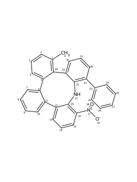 Cc1cccc2c3ccccc3c3cccc([N+](=O)[O-])c3[nH]c3c(-c4ccccc4)cccc3c12